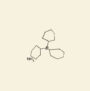 C1CCC(B(C2CCCCC2)C2CCCCC2)CC1.N